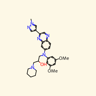 COc1cc(OC)cc(N(CC(O)CN2CCCCC2)c2ccc3ncc(-c4cnn(C)c4)nc3c2)c1